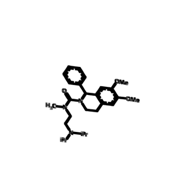 COc1cc2c(cc1OC)C(c1ccccc1)N(C(=O)N(C)CCN(C(C)C)C(C)C)CC2